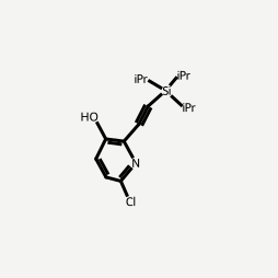 CC(C)[Si](C#Cc1nc(Cl)ccc1O)(C(C)C)C(C)C